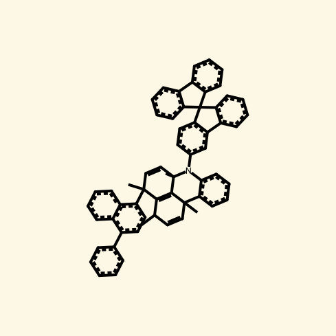 CC1C=CC2(C)C3=C1C(C)(c1ccc(-c4ccccc4)c4ccccc14)C=CC3(C)N(c1ccc3c(c1)-c1ccccc1C31c3ccccc3-c3ccccc31)c1ccccc12